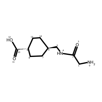 NCC(=O)NC[C@H]1CC[C@H](C(=O)O)CC1